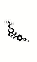 Cc1ccc(S(=O)(=O)n2ncc3c2CCN(CNN)C3)cc1